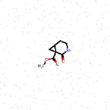 COC(=O)C12CC1CCNC2=O